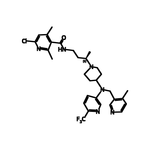 Cc1ccncc1CN(c1ccc(C(F)(F)F)nc1)C1CCN([C@H](C)CCNC(=O)c2c(C)cc(Cl)nc2C)CC1